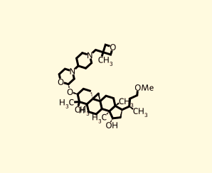 COCC[C@@H](C)[C@H]1C[C@H](O)[C@@]2(C)C3CC[C@H]4C(C)(C)[C@@H](O[C@H]5CN(C6CCN(CC7(C)COC7)CC6)CCO5)CC[C@@]45C[C@@]35CC[C@]12C